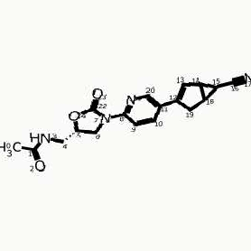 CC(=O)NC[C@H]1CN(c2ccc(C3=CC4C(C#N)C4C3)cn2)C(=O)O1